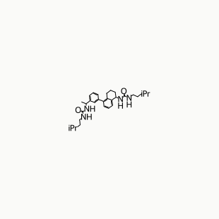 CC(C)CCNC(=O)NC(C)c1cccc(-c2cccc3c2CCCC3NC(=O)NCCC(C)C)c1